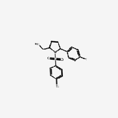 CCc1ccc(S(=O)(=O)N2C(CO)CCC2c2ccc(F)cc2)cc1